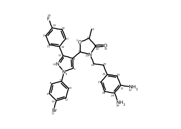 CC1OC(c2cn(-c3ccc(Br)cc3)nc2-c2ccc(F)cc2)N(CCc2ccc(N)c(N)c2)C1=O